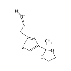 CC1(c2csc(CN=[N+]=[N-])n2)OCCO1